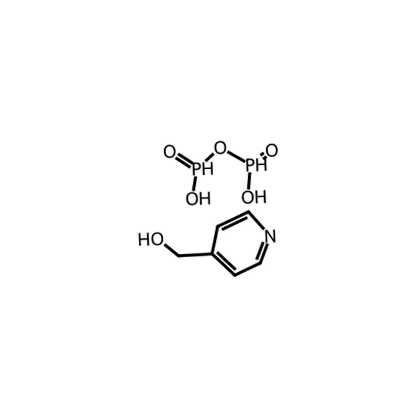 O=[PH](O)O[PH](=O)O.OCc1ccncc1